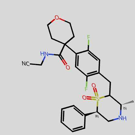 C[C@@H]1NC[C@@H](c2ccccc2)S(=O)(=O)C1Cc1cc(F)c(C2(C(=O)NCC#N)CCOCC2)cc1F